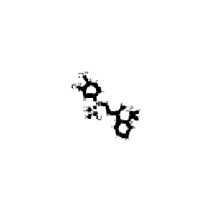 CC1(C)OCC(CCN(c2ccc(Cl)c(Cl)c2)S(C)(=O)=O)c2ccccc21